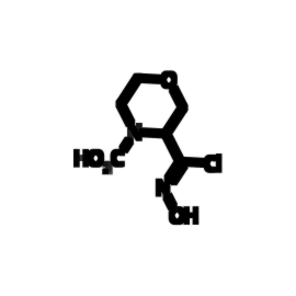 O=C(O)N1CCOCC1C(Cl)=NO